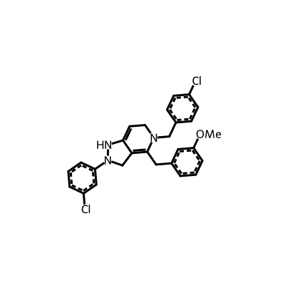 COc1cccc(CC2=C3CN(c4cccc(Cl)c4)NC3=CCN2Cc2ccc(Cl)cc2)c1